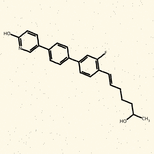 CC(O)CCCC=Cc1ccc(-c2ccc(-c3ccc(O)nc3)cc2)cc1F